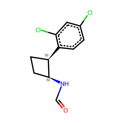 O=CN[C@H]1CC[C@H]1c1ccc(Cl)cc1Cl